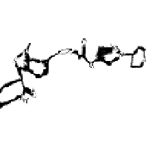 Cn1nc(C2CCC(=O)NC2=O)c2ccc(OCC(=O)Nc3cnn(C4CCOCC4)c3)cc21